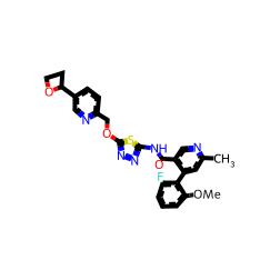 COc1cccc(F)c1-c1cc(C)ncc1C(=O)Nc1nnc(OCc2ccc(C3CCO3)cn2)s1